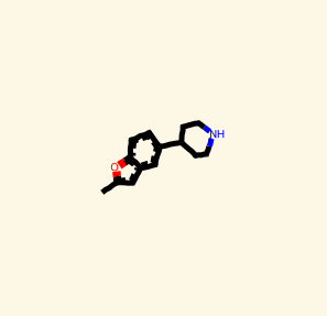 Cc1cc2cc(C3CCNCC3)ccc2o1